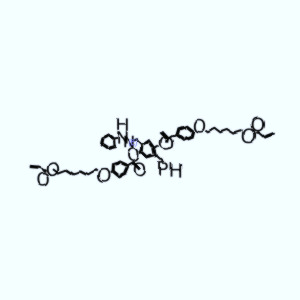 C=CC(=O)OCCCCCCOc1ccc(C(=C)Oc2cc(/C=N/Nc3ccccc3)c(OC(=O)c3ccc(OCCCCCCOC(=O)C=C)cc3)cc2C=P)cc1